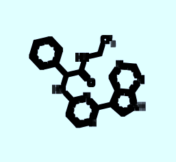 O=C(NCC(F)(F)F)C(Nc1ccnc(-c2c[nH]c3ncncc23)n1)c1ccccc1